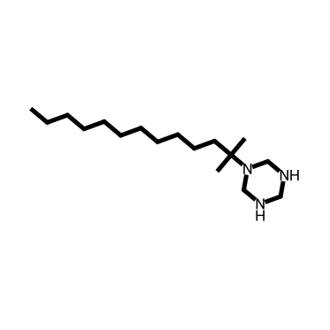 CCCCCCCCCCCC(C)(C)N1CNCNC1